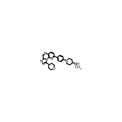 CNC1CCN(c2ccc(-c3ccc4ncc5nnc(C6CCOCC6)n5c4n3)cc2)CC1